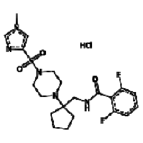 Cl.Cn1cnc(S(=O)(=O)N2CCN(C3(CNC(=O)c4c(F)cccc4F)CCCC3)CC2)c1